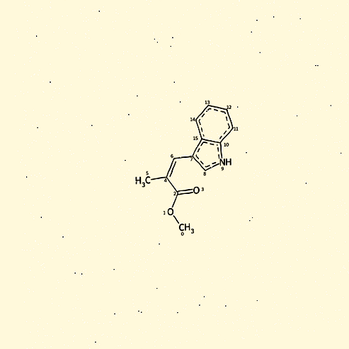 COC(=O)C(C)=Cc1c[nH]c2ccccc12